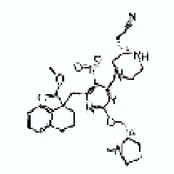 COC(=O)C1(Cc2nc(OC[C@@H]3CCCN3C)nc(N3CCN[C@@H](CC#N)C3)c2[N+](=O)[O-])CCCc2ccccc21